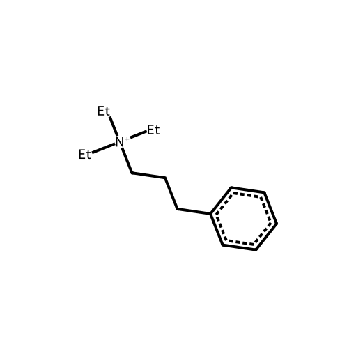 CC[N+](CC)(CC)CCCc1ccccc1